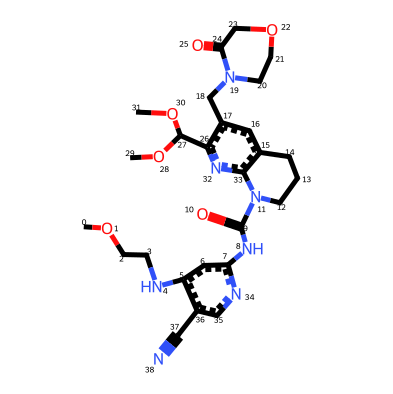 COCCNc1cc(NC(=O)N2CCCc3cc(CN4CCOCC4=O)c(C(OC)OC)nc32)ncc1C#N